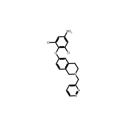 O=[N+]([O-])c1cc(Cl)c(Oc2ccc3c(c2)CCN(Cc2cccnn2)C3)c(Cl)c1